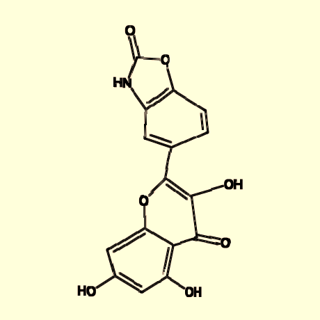 O=c1[nH]c2cc(-c3oc4cc(O)cc(O)c4c(=O)c3O)ccc2o1